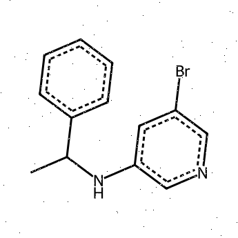 CC(Nc1cncc(Br)c1)c1ccccc1